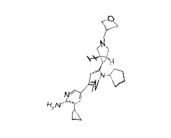 Nc1ncc(-c2cc([C@H]3[C@@H]4CN(C5COC5)C[C@@H]43)n(C3CCCC3)n2)cc1C1CC1